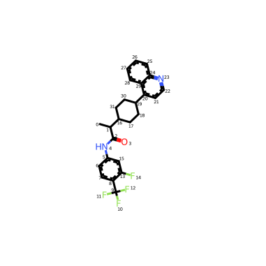 CC(C(=O)Nc1ccc(C(F)(F)F)c(F)c1)C1CCC(c2ccnc3ccccc23)CC1